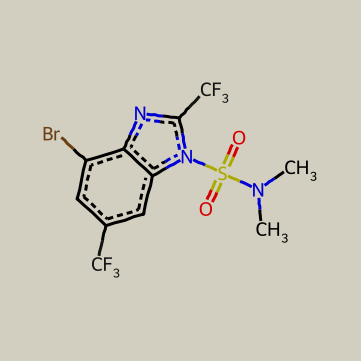 CN(C)S(=O)(=O)n1c(C(F)(F)F)nc2c(Br)cc(C(F)(F)F)cc21